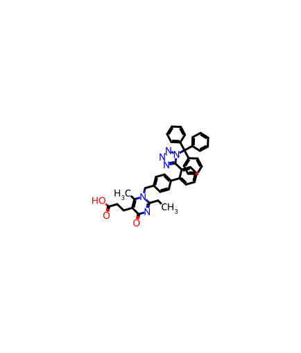 CCc1nc(=O)c(CCC(=O)O)c(C)n1Cc1ccc(-c2ccccc2-c2nnnn2C(c2ccccc2)(c2ccccc2)c2ccccc2)cc1